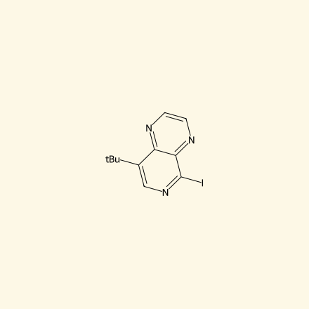 CC(C)(C)c1cnc(I)c2nccnc12